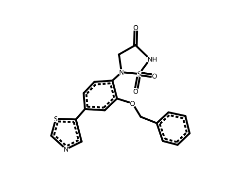 O=C1CN(c2ccc(-c3cncs3)cc2OCc2ccccc2)S(=O)(=O)N1